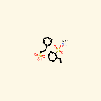 C=Cc1ccccc1S(=O)(=O)[O-].N.O=S(=O)(O)C=Cc1ccccc1.[Na+]